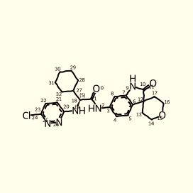 O=C(Nc1ccc2c(c1)NC(=O)C21CCOCC1)[C@@H](Nc1ccc(Cl)nn1)C1CCCCC1